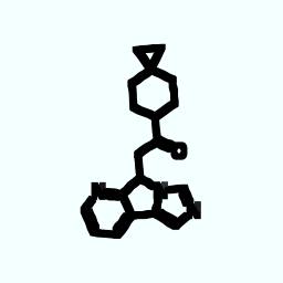 O=C(CC1c2ncccc2-c2cncn21)C1CCC2(CC1)CC2